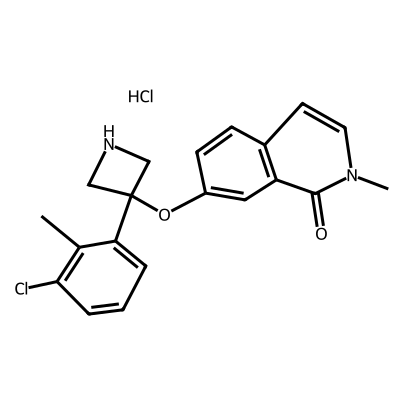 Cc1c(Cl)cccc1C1(Oc2ccc3ccn(C)c(=O)c3c2)CNC1.Cl